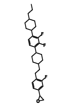 CCCC1CCC(c2ccc(C3CCC(CCc4ccc(C5CO5)cc4F)CC3)c(F)c2F)CC1